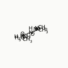 CC(C)NC(CCCCNC(=O)CCc1cn(C(C)C)nn1)C(N)=O